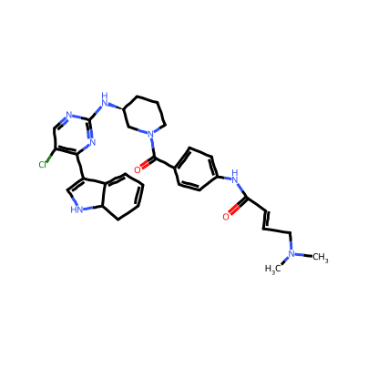 CN(C)C/C=C/C(=O)Nc1ccc(C(=O)N2CCC[C@H](Nc3ncc(Cl)c(C4=CNC5CC=CC=C45)n3)C2)cc1